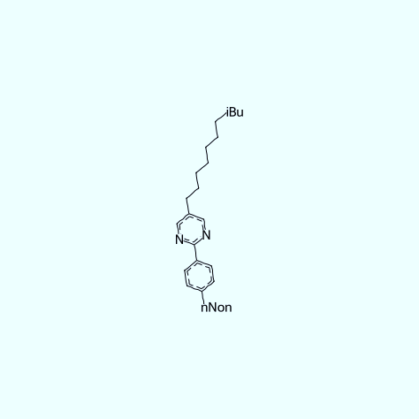 CCCCCCCCCc1ccc(-c2ncc(CCCCCCCC(C)CC)cn2)cc1